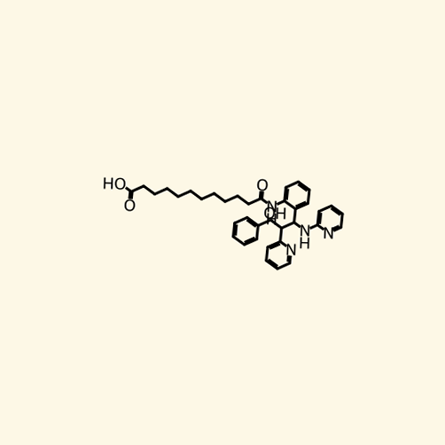 O=C(O)CCCCCCCCCCC(=O)Nc1ccccc1C(Nc1ccccn1)C(c1ccccn1)C(O)c1ccccc1